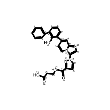 Cc1c(-c2ccccc2)cccc1-c1ccn2c(-n3ccc(C(=O)NCCC(=O)O)n3)cnc2c1